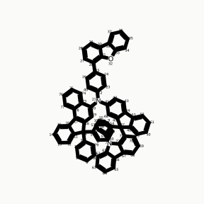 c1ccc(C2(c3ccccc3)c3ccccc3-c3c2cc(N(c2ccc(-c4cccc5c4oc4ccccc45)cc2)c2ccc4c(c2)C2(c5ccccc5-4)c4ccccc4-n4c5ccccc5c5cccc2c54)c2ccccc32)cc1